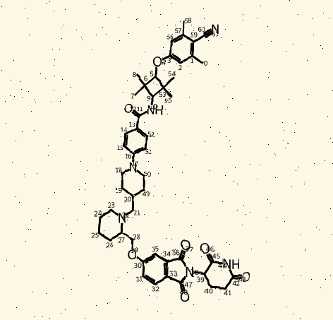 Cc1cc(OC2C(C)(C)C(NC(=O)c3ccc(N4CCC(CN5CCCC[C@@H]5COc5ccc6c(c5)C(=O)N(C5CCC(=O)NC5=O)C6=O)CC4)cc3)C2(C)C)cc(C)c1C#N